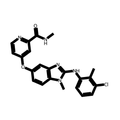 CNC(=O)c1cc(Oc2ccc3c(c2)nc(Nc2cccc(Cl)c2C)n3C)ccn1